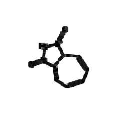 O=[N+]1N[N+](=O)C2C=CC=CC=C21